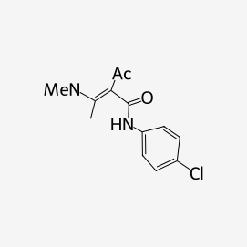 CNC(C)=C(C(C)=O)C(=O)Nc1ccc(Cl)cc1